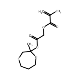 C=C(C)C(=O)OCC(=O)OC1(C)CSCCCO1